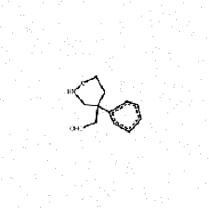 O=CCC1(c2ccccc2)CCCNC1